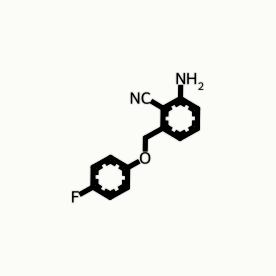 N#Cc1c(N)cccc1COc1ccc(F)cc1